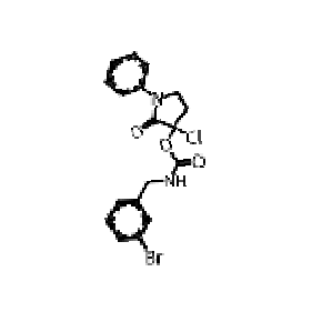 O=C(NCc1cccc(Br)c1)O[C@@]1(Cl)CCN(c2ccccc2)C1=O